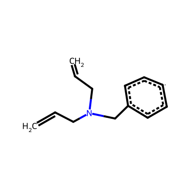 C=CCN(CC=C)Cc1cc[c]cc1